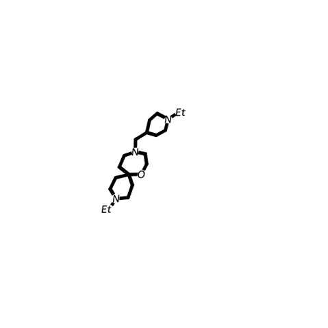 CCN1CCC(CN2CCOC3(CCN(CC)CC3)CC2)CC1